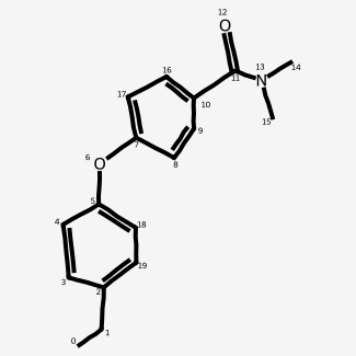 CCc1ccc(Oc2ccc(C(=O)N(C)C)cc2)cc1